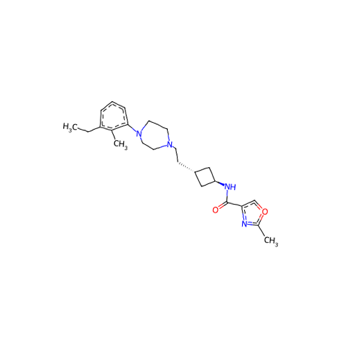 CCc1cccc(N2CCN(CC[C@H]3C[C@H](NC(=O)c4coc(C)n4)C3)CC2)c1C